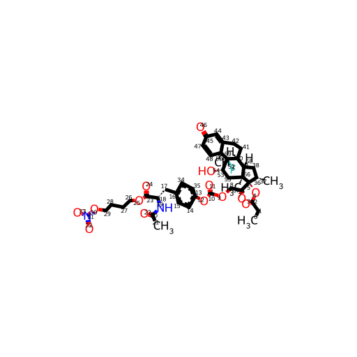 CCC(=O)O[C@@]1(C(=O)COC(=O)Oc2ccc(C[C@H](NC(C)=O)C(=O)OCCCCO[N+](=O)[O-])cc2)[C@@H](C)C[C@H]2[C@@H]3CCC4=CC(=O)C=C[C@]4(C)[C@@]3(F)[C@@H](O)C[C@@]21C